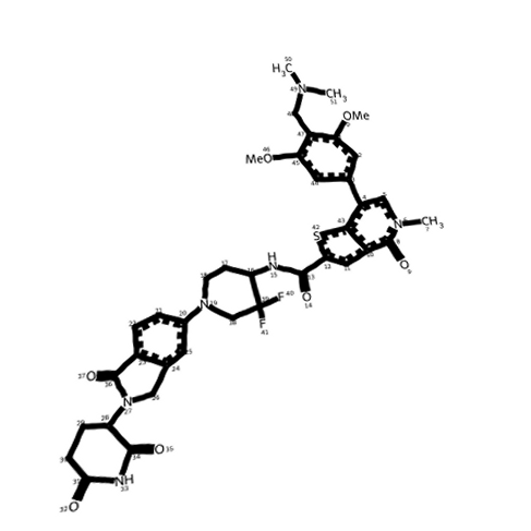 COc1cc(-c2cn(C)c(=O)c3cc(C(=O)NC4CCN(c5ccc6c(c5)CN(C5CCC(=O)NC5=O)C6=O)CC4(F)F)sc23)cc(OC)c1CN(C)C